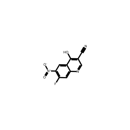 N#Cc1cnc2cc(F)c([N+](=O)[O-])cc2c1O